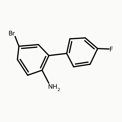 Nc1ccc(Br)cc1-c1ccc(F)cc1